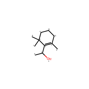 CC1=C(C(C)O)C(C)(C)CCC1